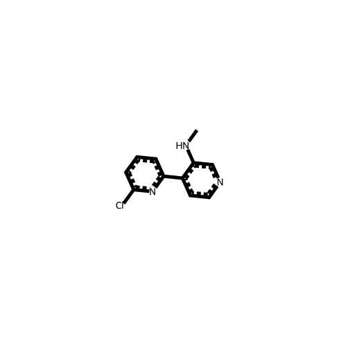 CNc1cnccc1-c1cccc(Cl)n1